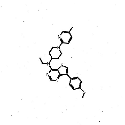 CCN(c1ncnc2c(-c3ccc(SC)cc3)csc12)C1CCN(c2ccc(C)cn2)CC1